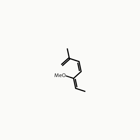 C=C(C)/C=C\C(=C/C)OC